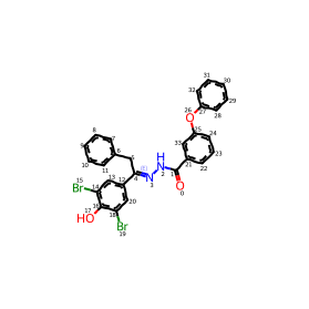 O=C(N/N=C(\Cc1ccccc1)c1cc(Br)c(O)c(Br)c1)c1cccc(Oc2ccccc2)c1